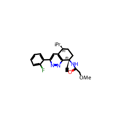 C#C[C@]1(NC(=O)COC)CC[C@H](C(C)C)c2cc(-c3ccccc3F)nnc21